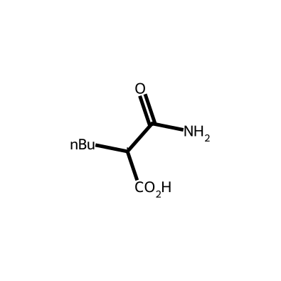 CCCC[C](C(N)=O)C(=O)O